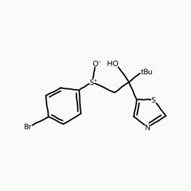 CC(C)(C)C(O)(C[S+]([O-])c1ccc(Br)cc1)c1cncs1